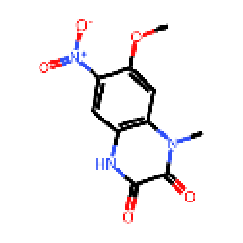 COc1cc2c(cc1[N+](=O)[O-])[nH]c(=O)c(=O)n2C